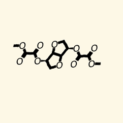 COC(=O)C(=O)O[C@@H]1COC2C1OC[C@H]2OC(=O)C(=O)OC